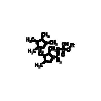 CC1CN(C)C(C)N1C.CC1CN(C)C(C)N1C.CCOP(=O)(O)O